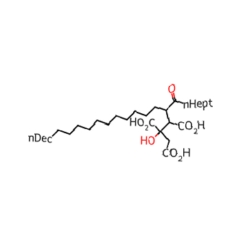 CCCCCCCCCCCCCCCCCCCCCC(C(=O)CCCCCCC)C(C(=O)O)C(O)(CC(=O)O)C(=O)O